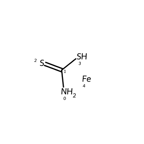 NC(=S)S.[Fe]